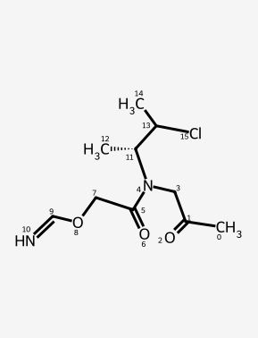 CC(=O)CN(C(=O)COC=N)[C@H](C)C(C)Cl